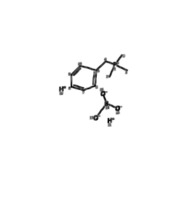 C[P+](C)(C)Cc1ccccc1.[H+].[H+].[O-]B([O-])[O-]